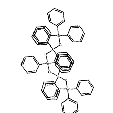 c1ccc([Si](O[Si](O[Si](c2ccccc2)(c2ccccc2)c2ccccc2)(c2ccccc2)c2ccccc2)(O[Si](O[Si](c2ccccc2)(c2ccccc2)c2ccccc2)(c2ccccc2)c2ccccc2)c2ccccc2)cc1